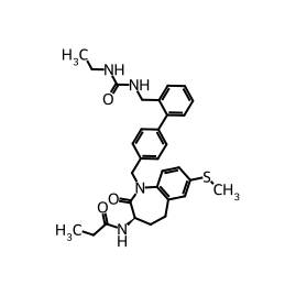 CCNC(=O)NCc1ccccc1-c1ccc(CN2C(=O)[C@H](NC(=O)CC)CCc3cc(SC)ccc32)cc1